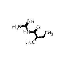 CCC(C)C(=O)NC(=N)N